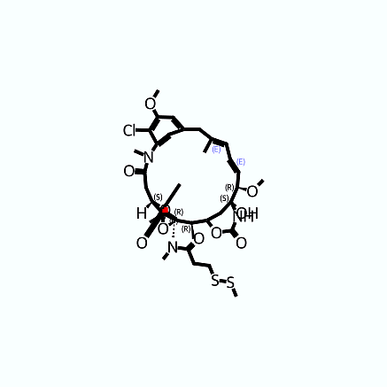 COc1cc2cc(c1Cl)N(C)C(=O)C[C@@H]1OC(=O)[C@H](N(C)C(=O)CCSSC)[C@]3(O[C@]13C)[C@H](C)C1C[C@@](O)(NC(=O)O1)[C@H](OC)/C=C/C=C(\C)C2